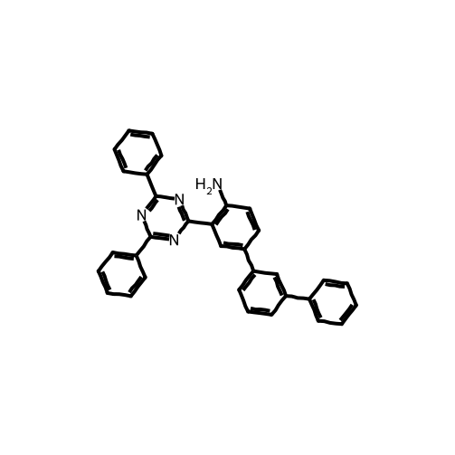 Nc1ccc(-c2cccc(-c3ccccc3)c2)cc1-c1nc(-c2ccccc2)nc(-c2ccccc2)n1